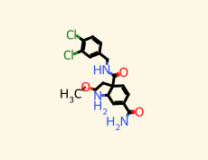 COCCC1(C(=O)NCc2ccc(Cl)c(Cl)c2)C=CC(C(N)=O)=CC1N